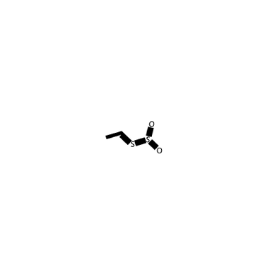 CC=S=S(=O)=O